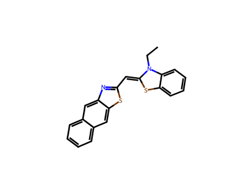 CCN1C(=Cc2nc3cc4ccccc4cc3s2)Sc2ccccc21